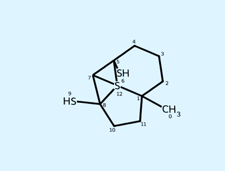 CC12CCCC3(S)C4C(S)(CC1)S423